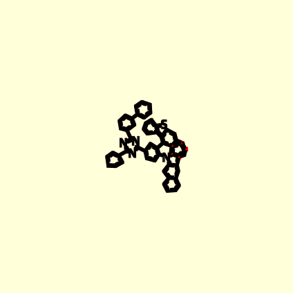 c1ccc(-c2cccc(-c3nc(-c4ccccc4)nc(-c4ccc(-n5c6ccccc6c6cc7ccccc7cc65)c(-c5c6ccccc6cc6sc7ccccc7c56)c4)n3)c2)cc1